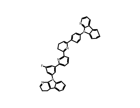 Fc1cc(-c2cccc(C3=NC(c4ccc(-n5c6ccccc6c6cccnc65)cc4)=CCC3)n2)cc(-n2c3c(c4ccccc42)CCC=N3)c1